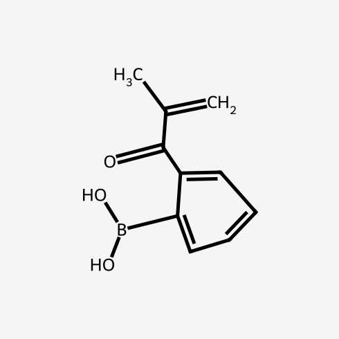 C=C(C)C(=O)c1ccccc1B(O)O